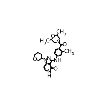 Cc1cc(Nc2nn(C3CCCOC3)c3cc[nH]c(=O)c23)ccc1C(=O)N1CC(C)OC(C)C1